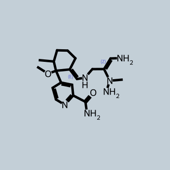 COC1(c2ccnc(C(N)=O)c2)/C(=C/NC/C(=C/N)N(C)N)CCCC1C